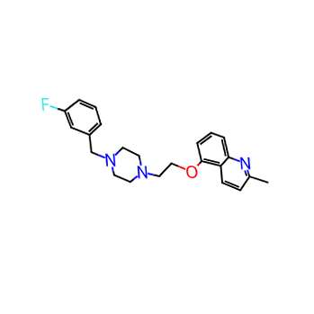 Cc1ccc2c(OCCN3CCN(Cc4cccc(F)c4)CC3)cccc2n1